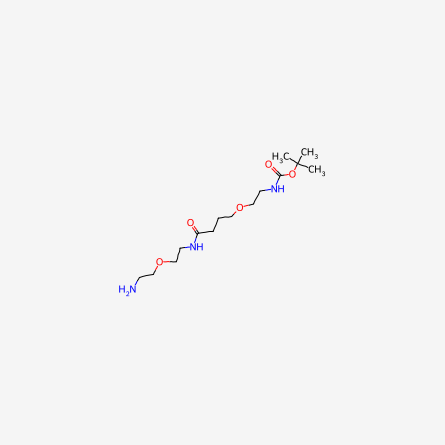 CC(C)(C)OC(=O)NCCOCCCC(=O)NCCOCCN